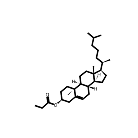 CCC(=O)O[C@H]1CC[C@]2(C)C(=CC[C@H]3[C@@H]4CC[C@H]([C@H](C)CCCC(C)C)[C@@]4(C)CC[C@@H]32)C1